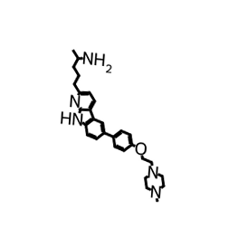 CC(N)CCCc1ccc2c(n1)[nH]c1ccc(-c3ccc(OCCN4CCN(C)CC4)cc3)cc12